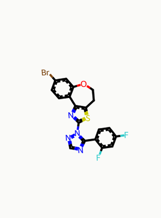 Fc1ccc(-c2ncnn2-c2nc3c(s2)CCOc2cc(Br)ccc2-3)c(F)c1